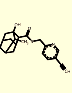 C#Cc1ccc(CSC(=O)C2C3CC4CC(C3)C(C)C2(O)C4)nc1